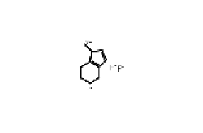 [F-].[F-].[F-].[Ti+3][CH]1C=CC2=C1CCCC2